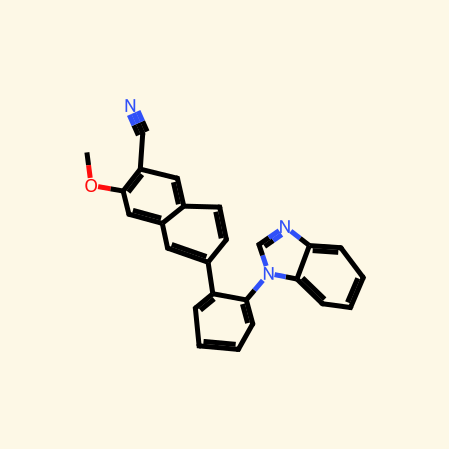 COc1cc2cc(-c3ccccc3-n3cnc4ccccc43)ccc2cc1C#N